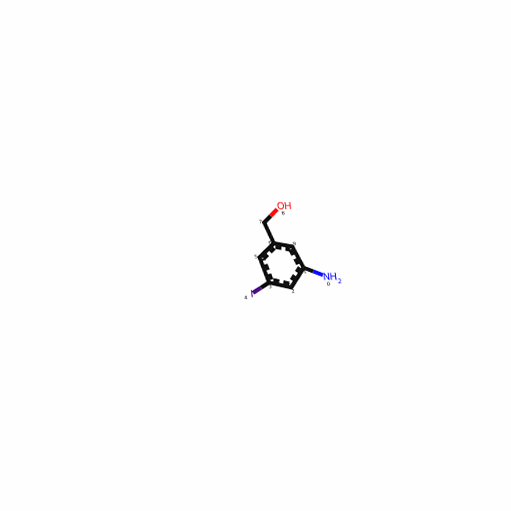 Nc1cc(I)cc(CO)c1